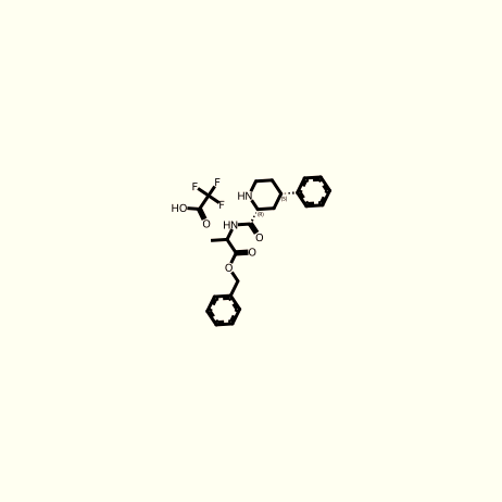 CC(NC(=O)[C@H]1C[C@@H](c2ccccc2)CCN1)C(=O)OCc1ccccc1.O=C(O)C(F)(F)F